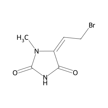 CN1C(=O)NC(=O)C1=CCBr